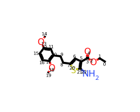 CCOC(=O)c1cc(CCc2cc(OC)ccc2OC)sc1N